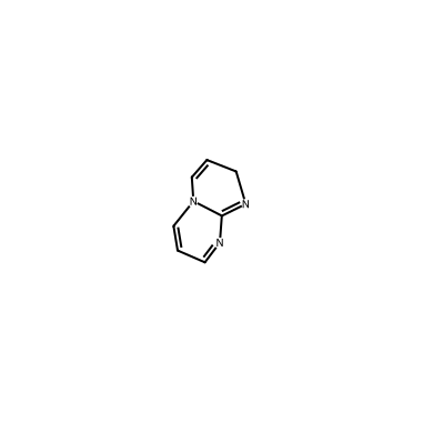 C1=CN2C=CCN=C2N=C1